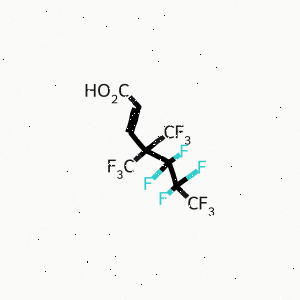 O=C(O)C=CC(C(F)(F)F)(C(F)(F)F)C(F)(F)C(F)(F)C(F)(F)F